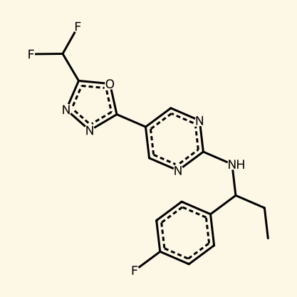 CCC(Nc1ncc(-c2nnc(C(F)F)o2)cn1)c1ccc(F)cc1